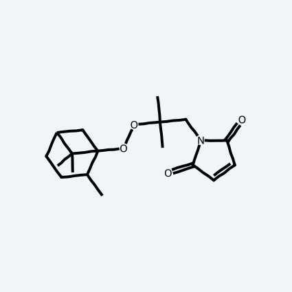 CC1CCC2CC1(OOC(C)(C)CN1C(=O)C=CC1=O)C2(C)C